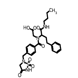 CCCCNC(=O)C(CCc1ccccc1)N(CC(=O)O)C(=O)c1ccc(CN2CC(=O)NS2(=O)=O)cc1